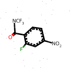 O=C(NC(F)(F)F)c1ccc([N+](=O)[O-])cc1F